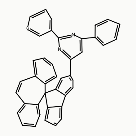 C1=Cc2ccccc2C2(c3ccccc31)c1ccccc1-c1ccc(-c3cc(-c4ccccc4)nc(-c4cccnc4)n3)cc12